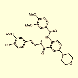 COc1cc(C=NNC(=O)c2cc(N3CCOCC3)ccc2NC(=O)c2ccc(OC)c(OC)c2)ccc1O